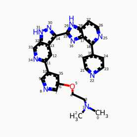 CN(C)CCOc1cncc(-c2cc3c(-c4nc5c(-c6ccncc6)nccc5[nH]4)n[nH]c3cn2)c1